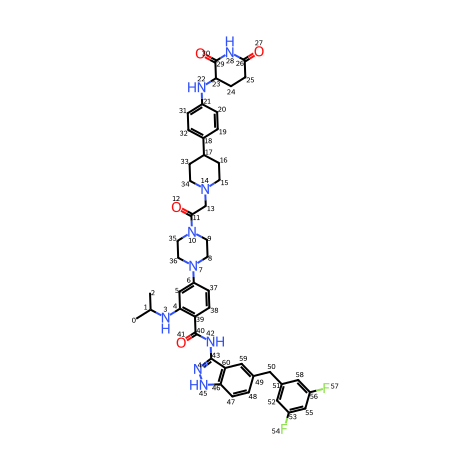 CC(C)Nc1cc(N2CCN(C(=O)CN3CCC(c4ccc(NC5CCC(=O)NC5=O)cc4)CC3)CC2)ccc1C(=O)Nc1n[nH]c2ccc(Cc3cc(F)cc(F)c3)cc12